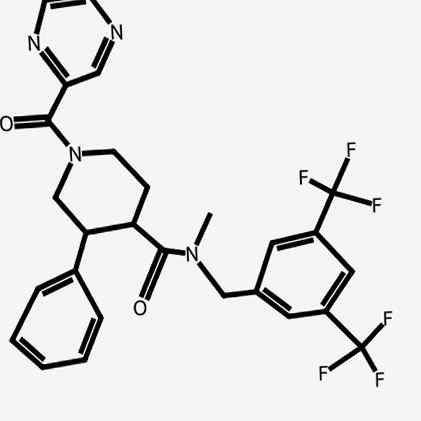 CN(Cc1cc(C(F)(F)F)cc(C(F)(F)F)c1)C(=O)C1CCN(C(=O)c2cnccn2)CC1c1ccccc1